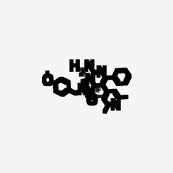 COc1ccc(CN2CN3C(N)=NC(c4ccccc4)=C(c4cc(C)nc(C)c4)C3=[N+]2[O-])cc1